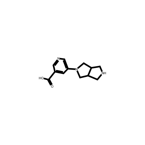 O=C(O)c1cncc(N2CC3CNCC3C2)c1